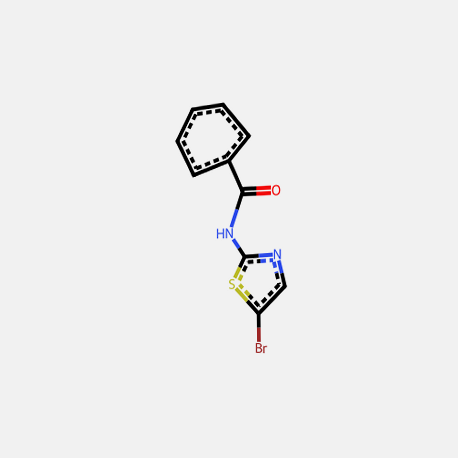 O=C(Nc1ncc(Br)s1)c1ccccc1